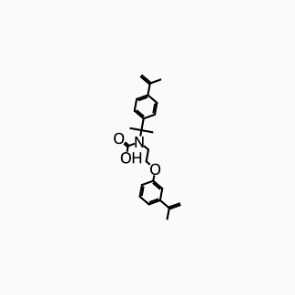 C=C(C)c1ccc(C(C)(C)N(CCOc2cccc(C(=C)C)c2)C(=O)O)cc1